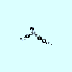 Cc1ccc(CCC2(Cn3ccnc3)OCC(CSc3ccc(-c4ccc(C)cc4)cc3)O2)cc1